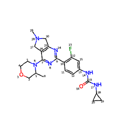 CC1COCCN1c1nc(-c2ccc(NC(=O)NC3CC3)cc2F)nc2c1CN(C)C2